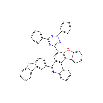 c1ccc(-c2nc(-c3ccccc3)nc(-c3cc4c(-c5ccc6sc7ccccc7c6c5)nc5ccccc5c4c4c3oc3ccccc34)n2)cc1